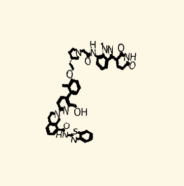 Cc1c(OCC[C@@H]2CCN(CC(=O)Nc3cccc4c(C5CCC(=O)NC5=O)nn(C)c34)C2)cccc1-c1ccc(N2CCc3cccc(C(=O)Nc4nc5ccccc5s4)c3C2)nc1CO